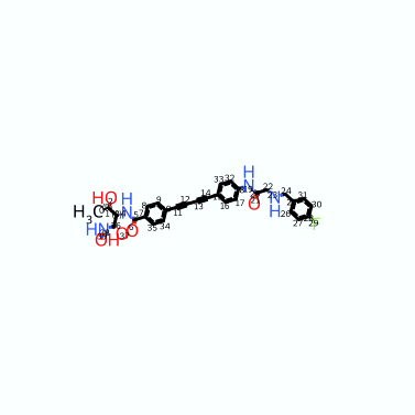 C[C@@H](O)[C@H](NC(=O)c1ccc(C#CC#Cc2ccc(NC(=O)CNCc3ccc(F)cc3)cc2)cc1)C(=O)NO